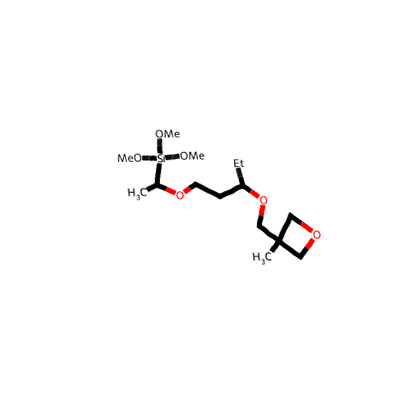 CCC(CCOC(C)[Si](OC)(OC)OC)OCC1(C)COC1